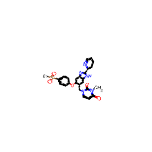 CCS(=O)(=O)c1ccc(Oc2cc3nc(-c4ccccn4)[nH]c3cc2Cn2ccc(=O)n(C)c2=O)cc1